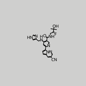 CC(C)(O)[C@H](F)CNC(=O)c1cnc(-c2ccc3cc(C#N)cnn23)cc1NCc1c[nH]cn1